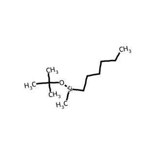 CCCCCC[Si](C)OC(C)(C)C